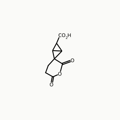 O=C1CCC2(C(=O)O1)C1C(C(=O)O)C12